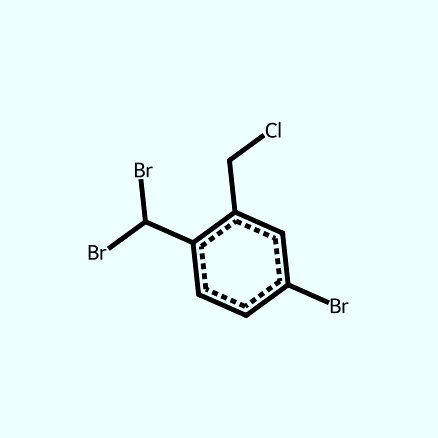 ClCc1cc(Br)ccc1C(Br)Br